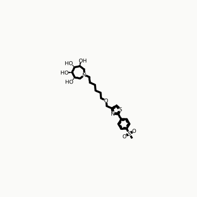 CS(=O)(=O)c1ccc(-c2nc(COCCCCCCN3C[C@H](O)[C@@H](O)[C@H](O)[C@@H](O)C3)cs2)cc1